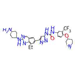 CCc1cc(-c2cc(NC(=O)Nc3ccc(OC4CCN(C)CC4)c(C(F)(F)F)c3)nn2C)cc2cnc(NC3CCC(N)CC3)nc12